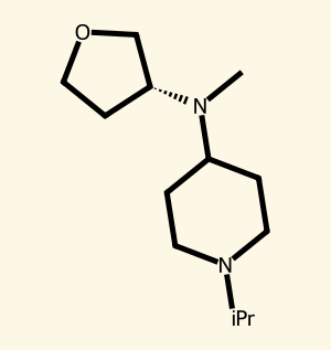 CC(C)N1CCC(N(C)[C@@H]2CCOC2)CC1